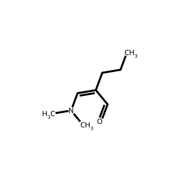 CCCC(C=O)=CN(C)C